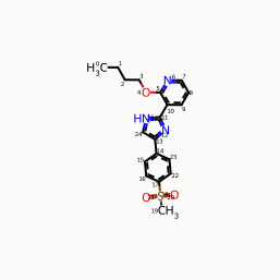 CCCCOc1ncccc1-c1nc(-c2ccc(S(C)(=O)=O)cc2)c[nH]1